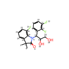 CC1(C)C(=O)N(C(c2cccc(F)c2F)C(O)CO)c2c(F)cccc21